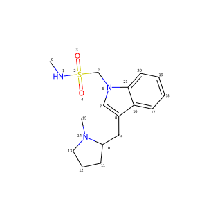 CNS(=O)(=O)Cn1cc(CC2CCCN2C)c2ccccc21